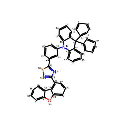 c1ccc(C2(c3ccccc3)c3ccccc3N(c3cccc(-c4nc(-c5cccc6oc7ccccc7c56)ns4)c3)c3ccccc32)cc1